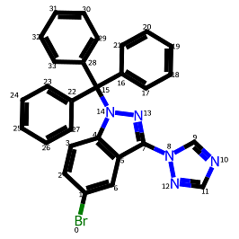 Brc1ccc2c(c1)c(-n1cncn1)nn2C(c1ccccc1)(c1ccccc1)c1ccccc1